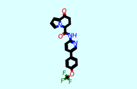 O=C1CCC(C(=O)Nc2ccc(-c3ccc(OC(F)(F)F)cc3)cn2)n2cccc21